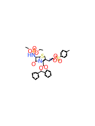 CCOP(=O)(NC1C(=O)N2C(C(=O)OC(c3ccccc3)c3ccccc3)=C(/C=C/OS(=O)(=O)c3ccc(C)cc3)CSC12)OCC